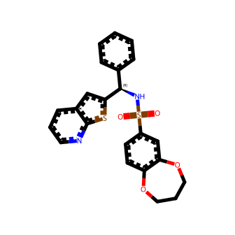 O=S(=O)(N[C@H](c1ccccc1)c1cc2cccnc2s1)c1ccc2c(c1)OCCCO2